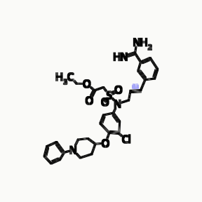 CCOC(=O)CS(=O)(=O)N(C/C=C/c1cccc(C(=N)N)c1)c1ccc(OC2CCN(c3ccccc3)CC2)c(Cl)c1